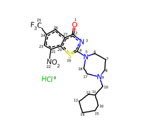 Cl.O=c1nc(N2CCCN(CC3CCCCC3)CC2)sc2c([N+](=O)[O-])cc(C(F)(F)F)cc12